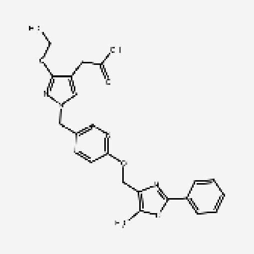 CCOc1nn(Cc2ccc(OCc3nc(-c4ccccc4)oc3C)nc2)cc1CC(=O)O